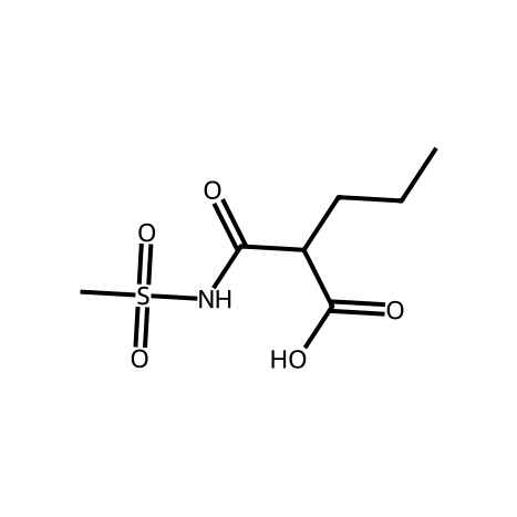 CCCC(C(=O)O)C(=O)NS(C)(=O)=O